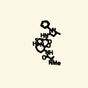 CN[C@@H](C)C(=O)NC1CCC[C@@H]2SC[C@@H](C(=O)NC3CC(C)=NN3c3ccccc3)N2C1=O